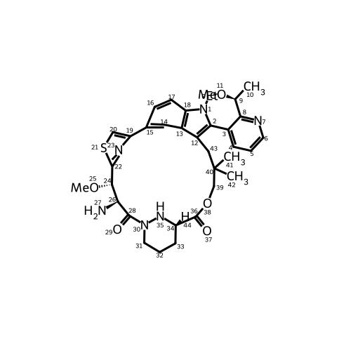 CCn1c(-c2cccnc2[C@H](C)OC)c2c3cc(ccc31)-c1csc(n1)[C@@H](OC)[C@H](N)C(=O)N1CCC[C@H](N1)C(=O)OCC(C)(C)C2